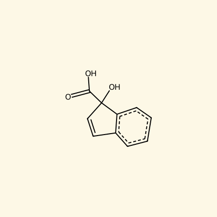 O=C(O)C1(O)C=Cc2ccccc21